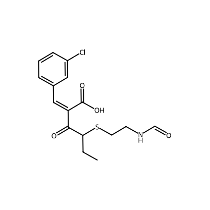 CCC(SCCNC=O)C(=O)/C(=C/c1cccc(Cl)c1)C(=O)O